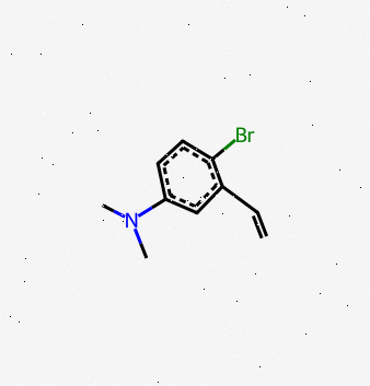 C=Cc1cc(N(C)C)ccc1Br